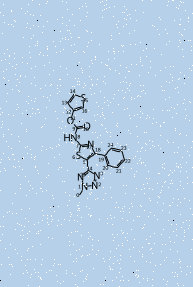 Cn1nnc(-c2sc(NC(=O)Oc3ccsc3)nc2-c2ccccc2)n1